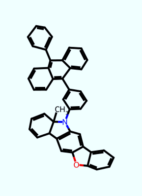 CC12C=CC=CC1c1cc3oc4ccccc4c3cc1N2c1cccc(-c2c3ccccc3c(-c3ccccc3)c3ccccc23)c1